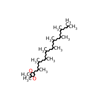 CC(C)=CCCC(C)=CCCC(C)=CCCC(C)=CCCC(C)=CCCC(C)=CCCC(C)=CCCC(C)=CCCC(C)=CCC1=CC(=O)C(C)=C(C)C1=O